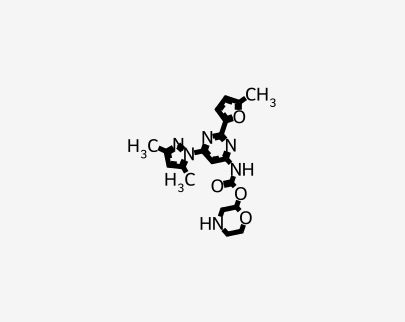 Cc1cc(C)n(-c2cc(NC(=O)OC3CNCCO3)nc(-c3ccc(C)o3)n2)n1